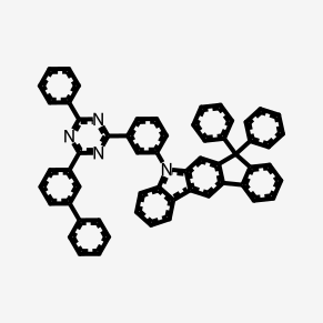 c1ccc(-c2cccc(-c3nc(-c4ccccc4)nc(-c4cccc(-n5c6ccccc6c6cc7c(cc65)C(c5ccccc5)(c5ccccc5)c5ccccc5-7)c4)n3)c2)cc1